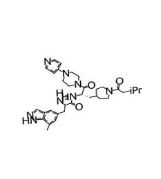 Cc1cc(C[C@@H](N)C(=O)N[C@@H](CC2CCN(C(=O)CC(C)C)CC2)C(=O)N2CCN(c3ccncc3)CC2)cc2cn[nH]c12